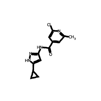 Cc1cc(C(=O)Nc2cc(C3CC3)[nH]n2)cc(Cl)n1